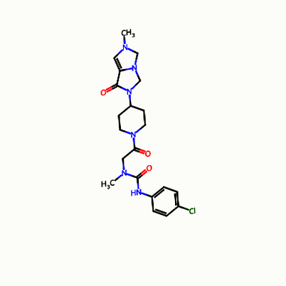 CN1C=C2C(=O)N(C3CCN(C(=O)CN(C)C(=O)Nc4ccc(Cl)cc4)CC3)CN2C1